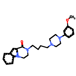 COc1cccc(N2CCN(CCCCN3CCn4c(cc5ccccc54)C3=O)CC2)c1